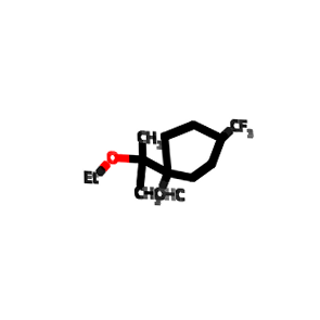 CCOC(C)(C)C1(C=O)CCC(C(F)(F)F)CC1